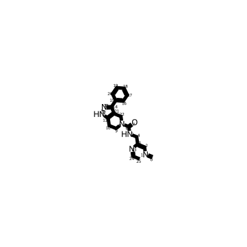 C=N/C=C(CNC(=O)N1CCc2[nH]nc(-c3ccccc3)c2C1)\N=C/C